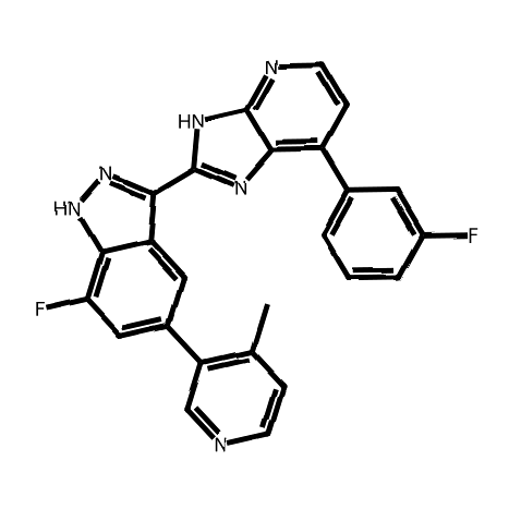 Cc1ccncc1-c1cc(F)c2[nH]nc(-c3nc4c(-c5cccc(F)c5)ccnc4[nH]3)c2c1